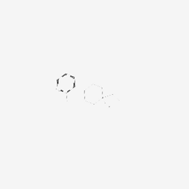 CC[C@]1(O)CC[C@H](c2cccnc2F)CC1